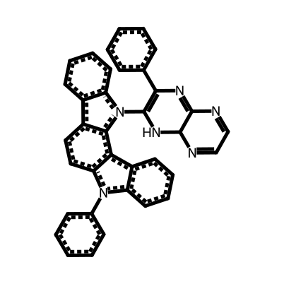 C1=NC2=NC(c3ccccc3)=C(n3c4ccccc4c4ccc5c(c6ccccc6n5-c5ccccc5)c43)NC2N=C1